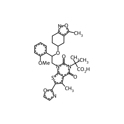 COc1ccccc1C(Cn1c(=O)n(C(C)(C)C(=O)O)c(=O)c2c(C)c(-c3ncco3)sc21)OC1CCc2noc(C)c2C1